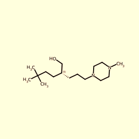 CN1CCN(CCC[C@@H](CO)CCC(C)(C)C)CC1